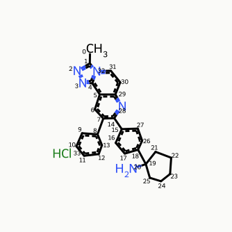 Cc1nnc2c3cc(-c4ccccc4)c(-c4ccc(C5(N)CCCCC5)cc4)nc3ccn12.Cl